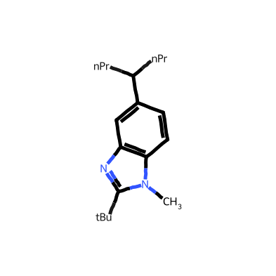 CCCC(CCC)c1ccc2c(c1)nc(C(C)(C)C)n2C